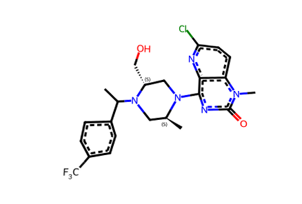 CC(c1ccc(C(F)(F)F)cc1)N1C[C@H](C)N(c2nc(=O)n(C)c3ccc(Cl)nc23)C[C@H]1CO